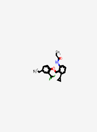 CCC(=O)Nc1cccc(C2CC2)c1COc1ccc(CC)cc1C(F)F